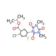 CC(C)OC(=O)c1cc(-n2c(=O)n(C)c(=O)n(C)c2=O)c(F)cc1Cl